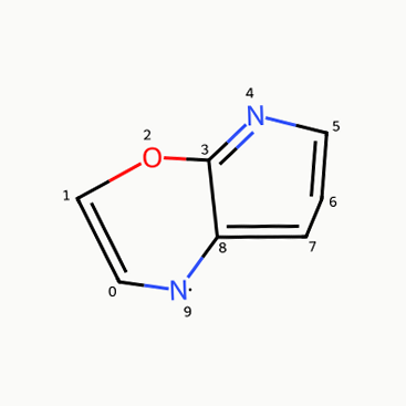 C1=COc2ncccc2[N]1